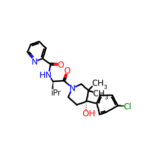 CC(C)[C@@H](NC(=O)c1ccccn1)C(=O)N1CC[C@](O)(c2ccc(Cl)cc2)C(C)(C)C1